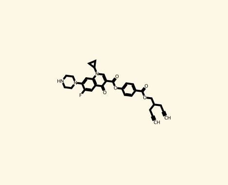 C#CCC(CC#C)COC(=O)c1ccc(OC(=O)c2cn(C3CC3)c3cc(N4CCNCC4)c(F)cc3c2=O)cc1